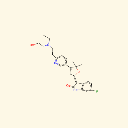 CCN(CCO)CCc1ccc(C2=C/C(=C3\C(=O)Nc4cc(F)ccc43)OC2(C)C)cn1